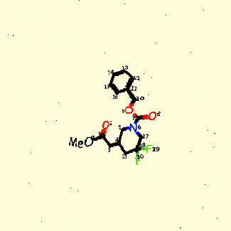 COC(=O)CC1CN(C(=O)OCc2ccccc2)CC(F)(F)C1